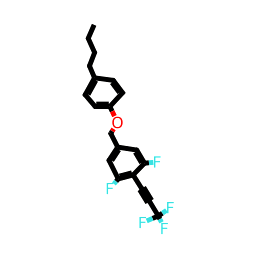 CCCCc1ccc(OCc2cc(F)c(C#CC(F)(F)F)c(F)c2)cc1